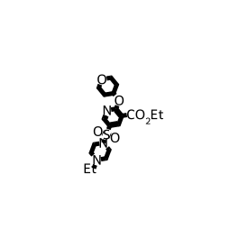 CCOC(=O)c1cc(S(=O)(=O)N2CCN(CC)CC2)cnc1OC1CCOCC1